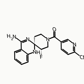 N#Cc1ccc(C(=O)N2CC[C@]3(N=C(N)c4ccccc4N3)[C@@H](F)C2)cn1